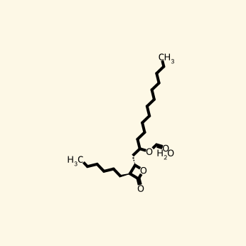 CCCCCCCCCCCC(C[C@@H]1OC(=O)[C@H]1CCCCCC)OC=O.O